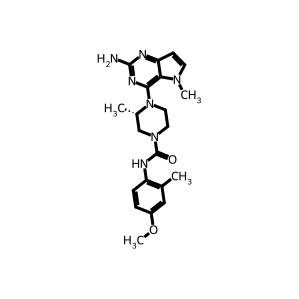 COc1ccc(NC(=O)N2CCN(c3nc(N)nc4ccn(C)c34)[C@@H](C)C2)c(C)c1